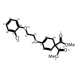 COC(=O)C1(C(=O)OC)C=CC(OCCOc2ccccc2Cl)=CC1